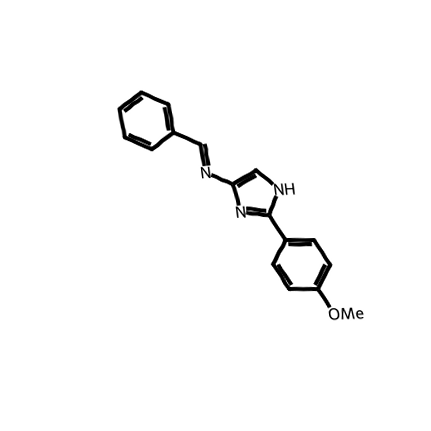 COc1ccc(-c2nc(N=Cc3ccccc3)c[nH]2)cc1